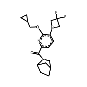 O=C(c1ccc(N2CC(F)(F)C2)c(OCC2CC2)n1)N1CC2CCC1C2